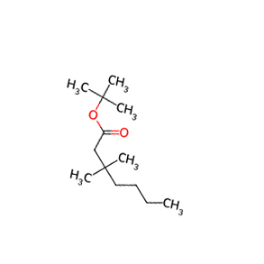 CCCCC(C)(C)CC(=O)OC(C)(C)C